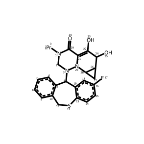 CC(C)N1CN(C2c3ccccc3CSc3ccc(F)cc32)N2C(=C(O)C(O)C3CC32)C1=O